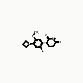 COc1cc([C@@H]2CCC(=O)NC2=O)c(Cl)cc1N1C[CH]C1